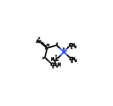 CC(=O)[C@H](CC(=O)O)C[N+](C)(C)C